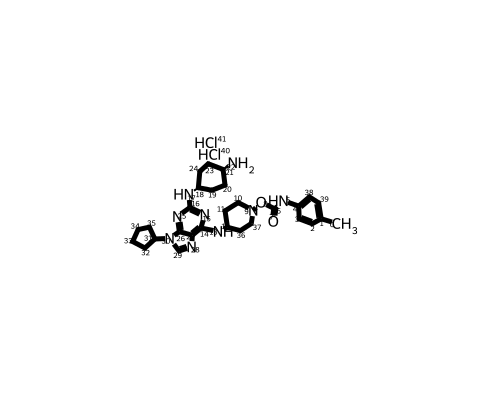 Cc1ccc(NC(=O)ON2CCC(Nc3nc(N[C@H]4CC[C@H](N)CC4)nc4c3ncn4C3CCCC3)CC2)cc1.Cl.Cl